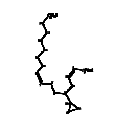 CCCCC/C=C\C[C@H](CC/C=C\CCCCCCC(=O)O)C1CC1